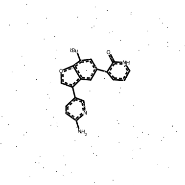 CC(C)(C)c1cc(-c2ccc[nH]c2=O)cc2c(-c3ccc(N)nc3)coc12